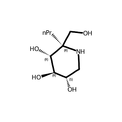 CCC[C@]1(CO)NC[C@H](O)[C@@H](O)[C@@H]1O